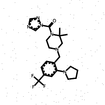 CC1(C)CN(Cc2ccc(C(F)(F)F)cc2N2CCCC2)CCN1C(=O)n1cncn1